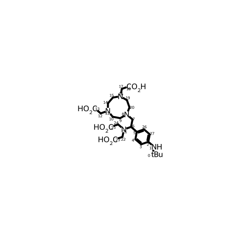 CC(C)(C)Nc1ccc(C(CN2CCN(CC(=O)O)CCN(CC(=O)O)CC2)N(CC(=O)O)CC(=O)O)cc1